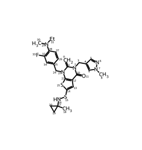 C=C1N(Cc2cnn(C)c2)C(=O)c2cc(SNC3(C)CC3)sc2N1Cc1ccc(N(C)CC)c(F)c1